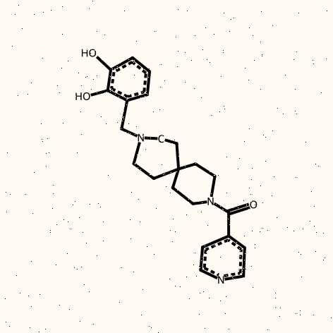 O=C(c1ccncc1)N1CCC2(CCN(Cc3cccc(O)c3O)CC2)CC1